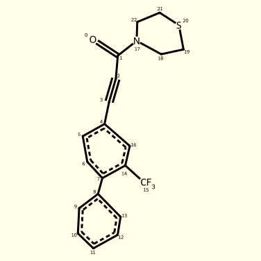 O=C(C#Cc1ccc(-c2ccccc2)c(C(F)(F)F)c1)N1CCSCC1